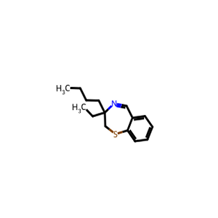 CCCCC1(CC)CSc2ccccc2C=N1